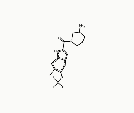 NC1CCCN(C(=O)c2cc3cc(OC(F)(F)F)c(F)cc3[nH]2)C1